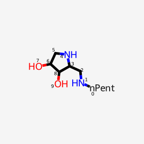 CCCCCNCC1NCC(O)C1O